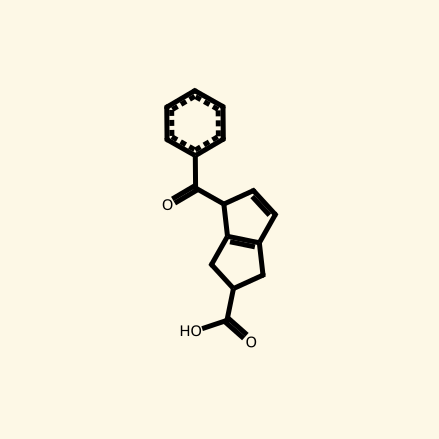 O=C(O)C1CC2=C(C1)C(C(=O)c1ccccc1)C=C2